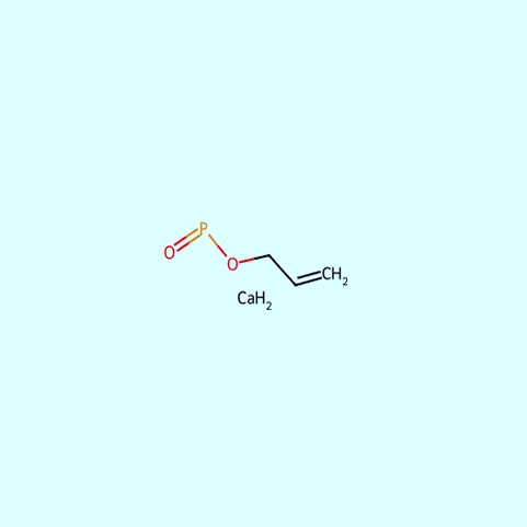 C=CCOP=O.[CaH2]